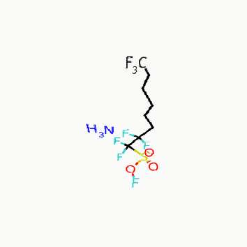 N.O=S(=O)(OF)C(F)(F)C(F)(F)CCCCCC(F)(F)F